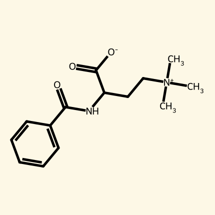 C[N+](C)(C)CCC(NC(=O)c1ccccc1)C(=O)[O-]